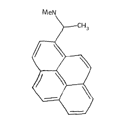 CNC(C)c1ccc2ccc3cccc4ccc1c2c34